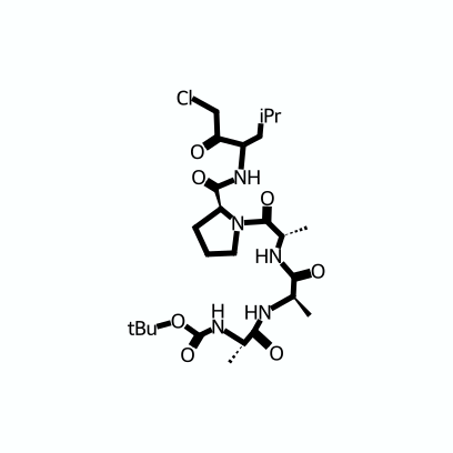 CC(C)CC(NC(=O)[C@@H]1CCCN1C(=O)[C@H](C)NC(=O)[C@@H](C)NC(=O)[C@H](C)NC(=O)OC(C)(C)C)C(=O)CCl